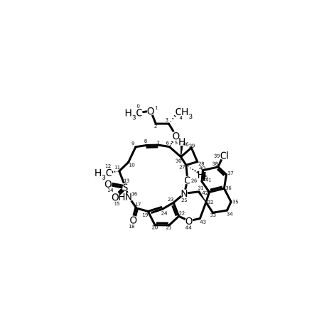 COC[C@H](C)O[C@H]1/C=C/CC[C@@H](C)S(=O)(=O)NC(=O)c2ccc3c(c2)N(C[C@@H]2CC[C@H]21)C[C@@]1(CCCc2cc(Cl)ccc21)CO3